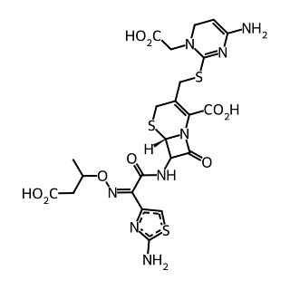 CC(CC(=O)O)O/N=C(\C(=O)NC1C(=O)N2C(C(=O)O)=C(CSC3=NC(N)=CCN3CC(=O)O)CS[C@@H]12)c1csc(N)n1